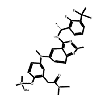 Cc1nc(N[C@H](C)c2cccc(C(C)(F)F)c2F)c2cc(N(C)c3ccc(O[Si](C)(C)C(C)(C)C)c(CC(=O)N(C)C)c3)ccc2n1